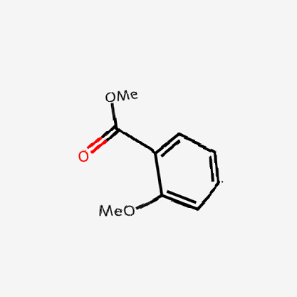 COC(=O)c1cc[c]cc1OC